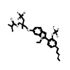 CCCCCc1ccc(-c2cc3ccc(OCC(C)(COC(=O)C(C)C)CC(F)(F)F)cc3n2CC)c(OC(F)(F)F)c1